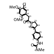 CNC(=O)Nc1ccc(C2=NN(C(=O)Cc3cc(Cl)c(OC)cc3OC)CC2)cc1